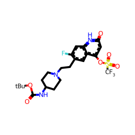 CC(C)(C)OC(=O)NC1CCN(CCc2cc3c(OS(=O)(=O)C(F)(F)F)cc(=O)[nH]c3cc2F)CC1